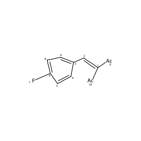 CC(=O)C(=Cc1ccc(F)cc1)C(C)=O